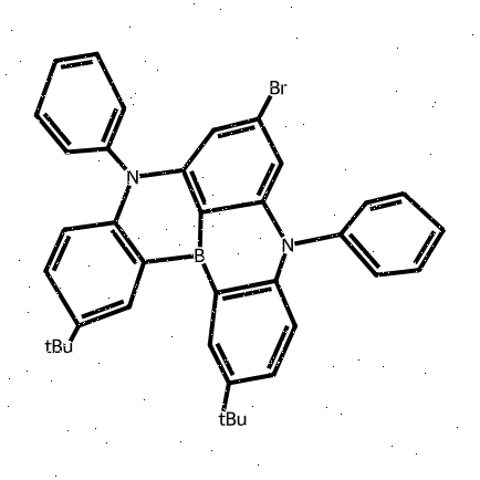 CC(C)(C)c1ccc2c(c1)B1c3cc(C(C)(C)C)ccc3N(c3ccccc3)c3cc(Br)cc(c31)N2c1ccccc1